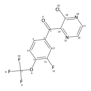 O=C(c1ccc(OC(F)(F)F)c(F)c1)c1nccnc1Cl